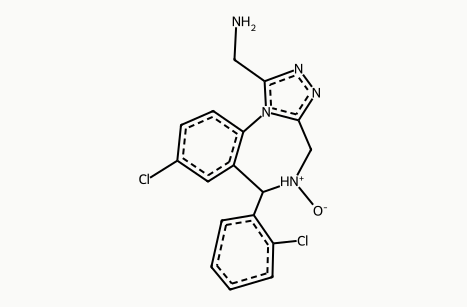 NCc1nnc2n1-c1ccc(Cl)cc1C(c1ccccc1Cl)[NH+]([O-])C2